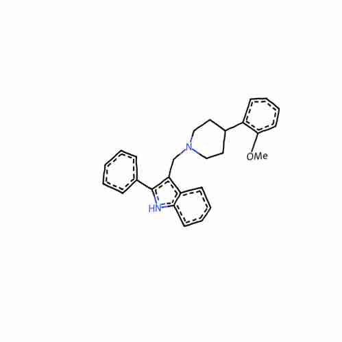 COc1ccccc1C1CCN(Cc2c(-c3ccccc3)[nH]c3ccccc23)CC1